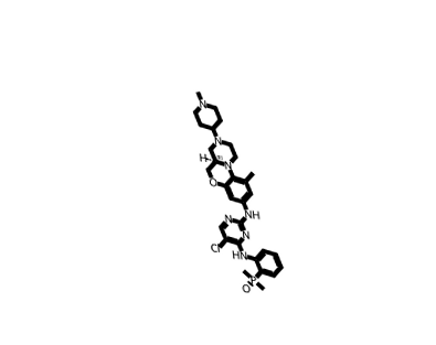 Cc1cc(Nc2ncc(Cl)c(Nc3ccccc3P(C)(C)=O)n2)cc2c1N1CCN(C3CCN(C)CC3)C[C@@H]1CO2